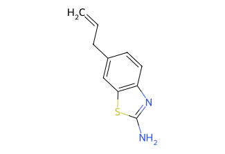 C=CCc1ccc2nc(N)sc2c1